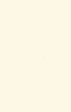 C=C[N+]1(C)CCn2c1cc(Cl)nc2=O